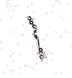 Cn1c2ccncc2c2ccc(-c3ccc(O[C@H]4C[C@H](N(C)C5CC6(C5)CN(CCCCCOc5ccc7c(c5)C(=O)N(C5CCC(=O)NC5=O)C7=O)C6)C4)nc3)cc21